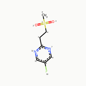 CS(=O)(=O)CCc1ncc(F)cn1